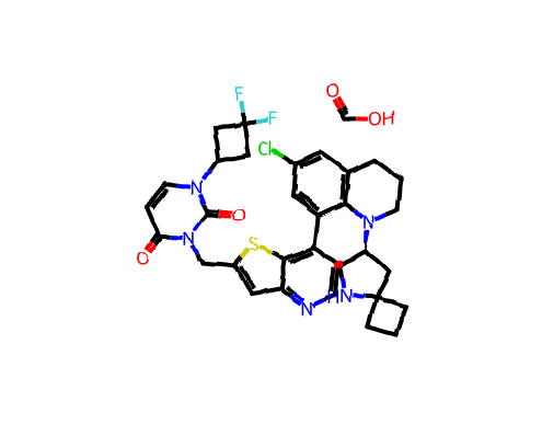 O=CO.O=c1ccn(C2CC(F)(F)C2)c(=O)n1Cc1cc2nccc(-c3cc(Cl)cc4c3N([C@@H]3CNC5(CCC5)C3)CCC4)c2s1